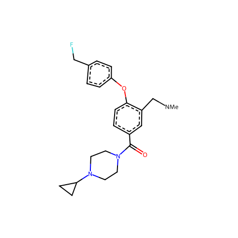 CNCc1cc(C(=O)N2CCN(C3CC3)CC2)ccc1Oc1ccc(CF)cc1